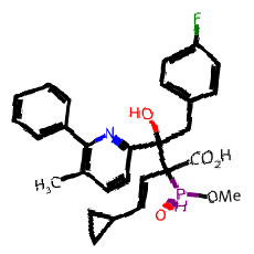 CO[PH](=O)C(C=CC1CC1)(C(=O)O)C(O)(Cc1ccc(F)cc1)c1ccc(C)c(-c2ccccc2)n1